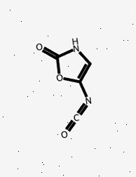 O=C=Nc1c[nH]c(=O)o1